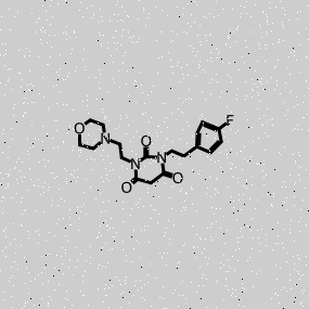 O=C1CC(=O)N(CCN2CCOCC2)C(=O)N1CCc1ccc(F)cc1